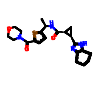 C[C@@H](NC(=O)[C@@H]1C[C@H]1c1nc2ccccc2[nH]1)c1ccc(C(=O)N2CCOCC2)s1